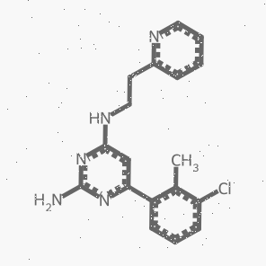 Cc1c(Cl)cccc1-c1cc(NCCc2ccccn2)nc(N)n1